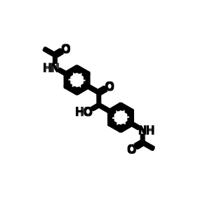 CC(=O)Nc1ccc(C(=O)C(O)c2ccc(NC(C)=O)cc2)cc1